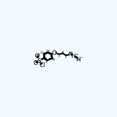 [N-]=[N+]=NCCCOc1ccc(S(=O)(=O)Cl)cc1